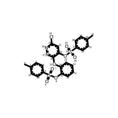 Cc1ccc(S(=O)(=O)Oc2ccccc2Oc2nnc(Cl)cc2OS(=O)(=O)c2ccc(C)cc2)cc1